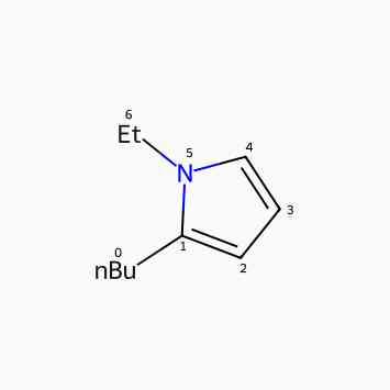 CCCCc1cccn1CC